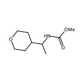 COC(=O)NC(C)C1CCOCC1